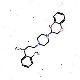 CC(=O)C(CCN1CCN(C2COc3ccccc3O2)CC1)c1ccccc1C#N